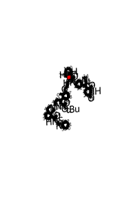 Cc1c(OCCOC2C[C@H]3CC[C@@H](C2)N3CC(=O)Nc2ccc3c(C4CCC(=O)NC4=O)nn(C)c3c2)cccc1-c1ccc(N2CCc3cccc(C(=O)Nc4nc5ccccc5s4)c3C2)nc1C(=O)OC(C)(C)C